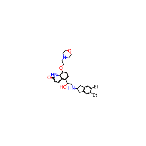 CCc1cc2c(cc1CC)CC(NCC(O)c1ccc(OCCN3CCOCC3)c3[nH]c(=O)ccc13)C2